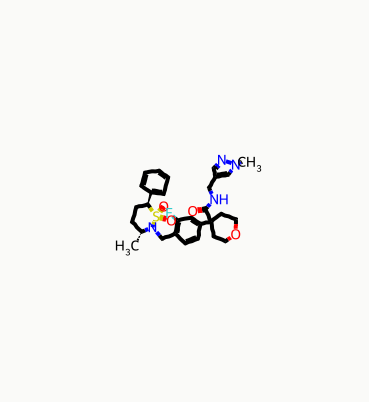 C[C@@H]1CC[C@@H](c2ccccc2)S(=O)(=O)N1Cc1ccc(C2(C(=O)NCc3cnn(C)c3)CCOCC2)cc1F